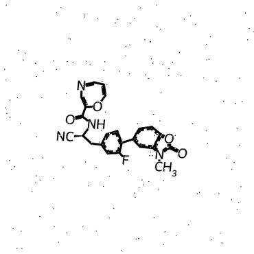 Cn1c(=O)oc2ccc(-c3ccc(C[C@@H](C#N)NC(=O)C4=CN=CC=CO4)cc3F)cc21